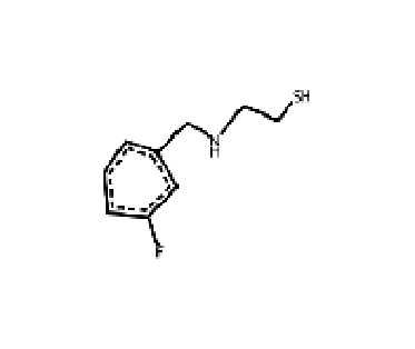 Fc1cccc(CNCCS)c1